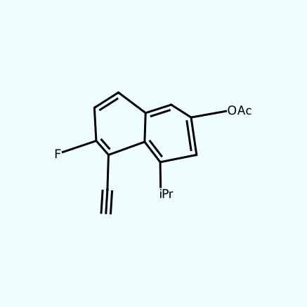 C#Cc1c(F)ccc2cc(OC(C)=O)cc(C(C)C)c12